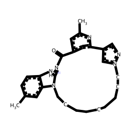 Cc1ccc2c(c1)N1CCCCCCCCCn3cc(cn3)-c3cc(cc(C)n3)C(=O)/N=C/1N2